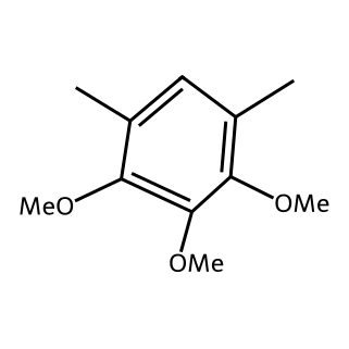 COc1c(C)cc(C)c(OC)c1OC